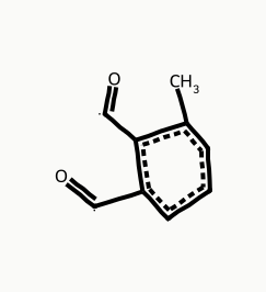 Cc1cccc([C]=O)c1[C]=O